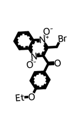 CCOc1ccc(C(=O)c2c(CBr)[n+]([O-])c3ccccc3[n+]2[O-])cc1